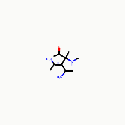 C=C(N)/C(=C(\C)N)C(C)(NC)C(C)=O